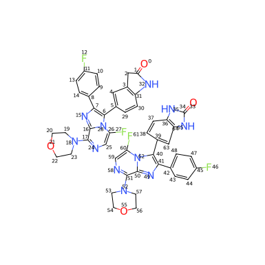 O=C1Cc2cc(-c3c(-c4ccc(F)cc4)nc4c(N5CCOCC5)ncc(F)n34)ccc2N1.O=c1[nH]c2ccc(-c3c(-c4ccc(F)cc4)nc4c(N5CCOCC5)ncc(F)n34)cc2[nH]1